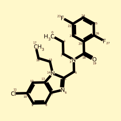 CCCN(Cc1nc2ccc(Cl)cc2n1CCC)C(=O)c1cc(F)ccc1F